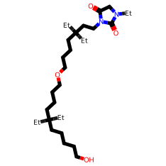 CCN1CC(=O)N(CCC(CC)(CC)CCCCOCCCCC(CC)(CC)CCCCCO)C1=O